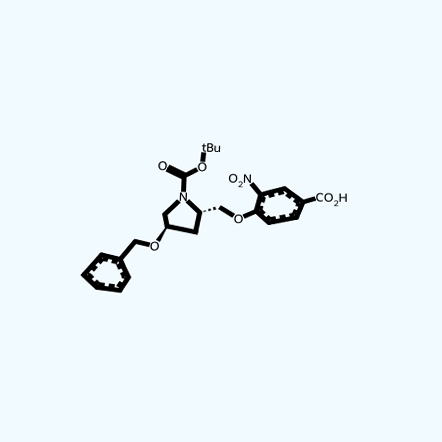 CC(C)(C)OC(=O)N1C[C@H](OCc2ccccc2)C[C@H]1COc1ccc(C(=O)O)cc1[N+](=O)[O-]